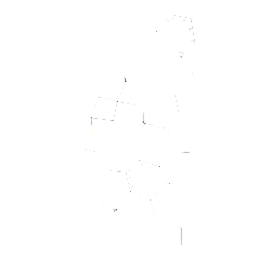 CCOc1cc(C(C)N(CCCc2ccccc2)C(=O)NC2(C(=O)O)CC(F)(F)C2)cc(OCC)c1C(C)=O